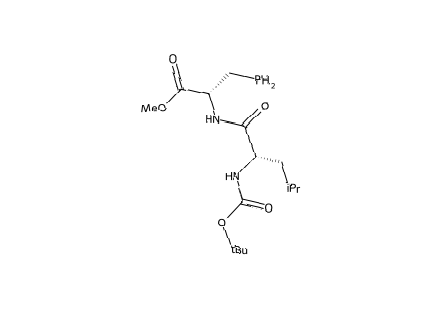 COC(=O)[C@H](CP)NC(=O)[C@H](CC(C)C)NC(=O)OC(C)(C)C